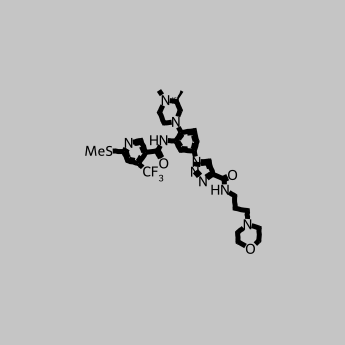 CSc1cc(C(F)(F)F)c(C(=O)Nc2cc(-n3cc(C(=O)NCCCN4CCOCC4)nn3)ccc2N2CCN(C)[C@@H](C)C2)cn1